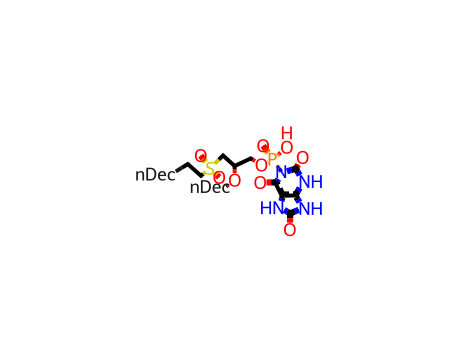 CCCCCCCCCCCCS(=O)(=O)CC(COP(=O)(O)n1c(=O)[nH]c2[nH]c(=O)[nH]c2c1=O)OCCCCCCCCCC